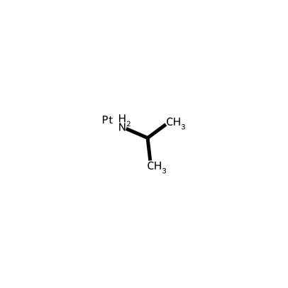 CC(C)N.[Pt]